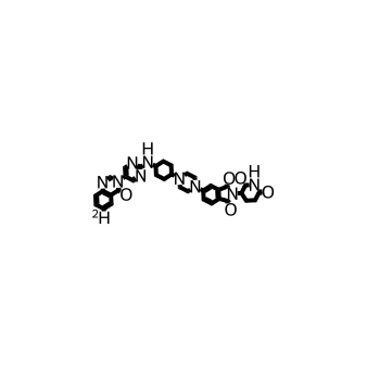 [2H]c1ccc2ncn(-c3cnc(NC4CCC(N5CCN(c6ccc7c(c6)C(=O)N(C6CCC(=O)NC6=O)C7=O)CC5)CC4)nc3)c(=O)c2c1